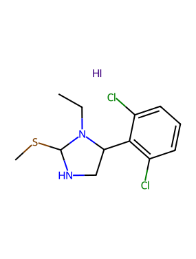 CCN1C(SC)NCC1c1c(Cl)cccc1Cl.I